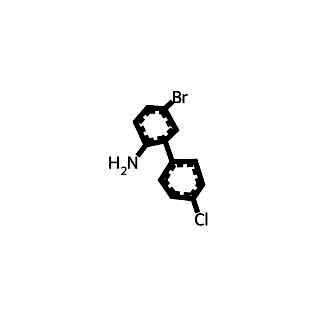 Nc1ccc(Br)cc1-c1ccc(Cl)cc1